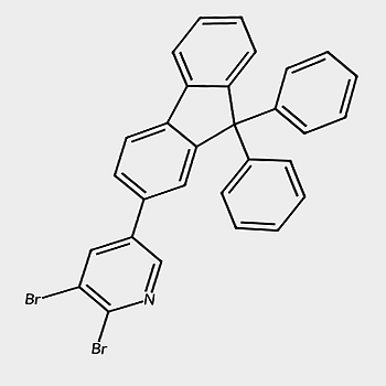 Brc1cc(-c2ccc3c(c2)C(c2ccccc2)(c2ccccc2)c2ccccc2-3)cnc1Br